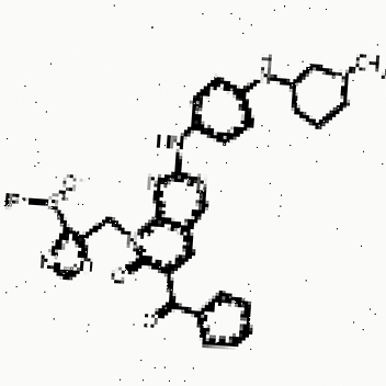 CC(C)[S+]([O-])c1ncoc1Cn1c(=O)c(C(=O)c2ccccc2)cc2cnc(Nc3ccc(NC4CCCN(C)C4)cc3)nc21